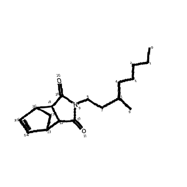 CCCCCC(C)CCN1C(=O)C2C3C=CC(C3)C2C1=O